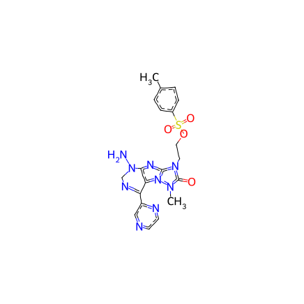 Cc1ccc(S(=O)(=O)OCCn2c(=O)n(C)n3c4c(nc23)N(N)CN=C4c2cnccn2)cc1